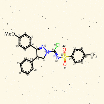 COc1ccc(C2=NN(/C(Cl)=N/S(=O)(=O)c3ccc(C(F)(F)F)cc3)CC2c2ccccc2)cc1